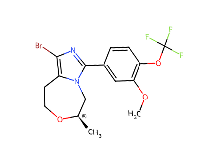 COc1cc(-c2nc(Br)c3n2C[C@@H](C)OCC3)ccc1OC(F)(F)F